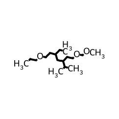 CCCOCCC(CC)CC(CCOCOC)C(C)C